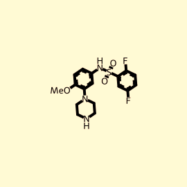 COc1ccc(NS(=O)(=O)c2cc(F)ccc2F)cc1N1CCNCC1